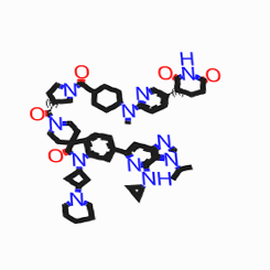 CC(C)n1cnc2cc(-c3ccc4c(c3)N(C3CC(N5CCCCC5)C3)C(=O)C43CCN(C(=O)[C@@H]4CCN(C(=O)C5CCC(N(C)c6ccc([C@H]7CCC(=O)NC7=O)cn6)CC5)C4)CC3)nc(NC3CC3)c21